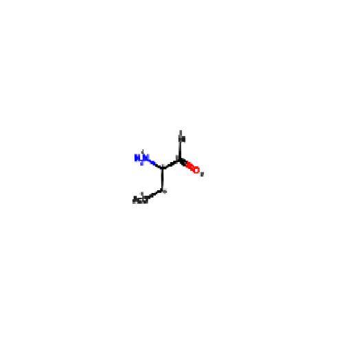 CCC(=O)C(N)COC(C)=O